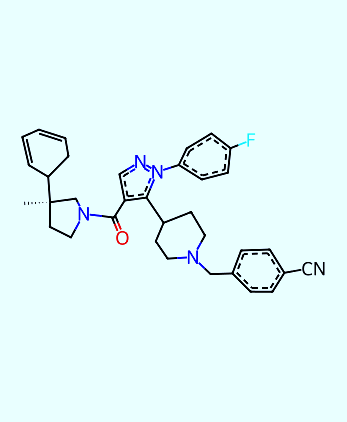 C[C@@]1(C2C=CC=CC2)CCN(C(=O)c2cnn(-c3ccc(F)cc3)c2C2CCN(Cc3ccc(C#N)cc3)CC2)C1